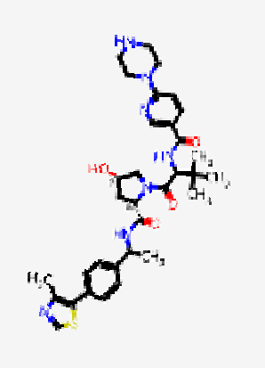 Cc1ncsc1-c1ccc(C(C)NC(=O)[C@@H]2C[C@@H](O)CN2C(=O)C(NC(=O)c2ccc(N3CCNCC3)nc2)C(C)(C)C)cc1